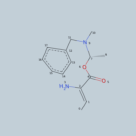 C/C=C(\N)C(=O)O[C@@H](C)N(C)Cc1ccccc1